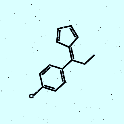 CCC(=C1C=CC=C1)c1ccc(Cl)cc1